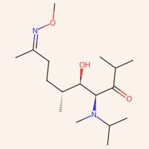 CON=C(C)CC[C@@H](C)[C@@H](O)[C@@H](C(=O)C(C)C)N(C)C(C)C